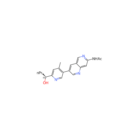 CCC[C@H](O)c1cc(C)c(-c2cnc3cc(NC(C)=O)ncc3c2)cn1